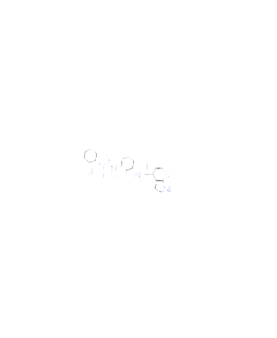 [2H]C([2H])(c1ccnc2[nH]ccc12)N1CCc2c(NC(=O)Nc3ccccc3Cl)cccc21